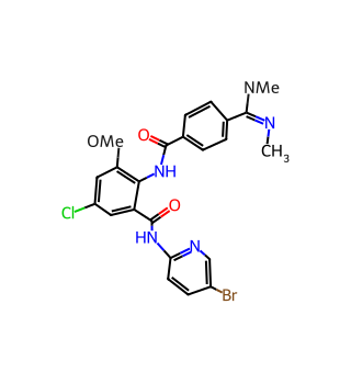 C/N=C(/NC)c1ccc(C(=O)Nc2c(OC)cc(Cl)cc2C(=O)Nc2ccc(Br)cn2)cc1